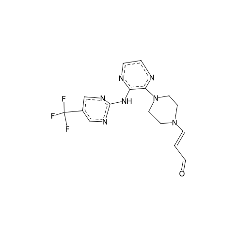 O=CC=CN1CCN(c2nccnc2Nc2ncc(C(F)(F)F)cn2)CC1